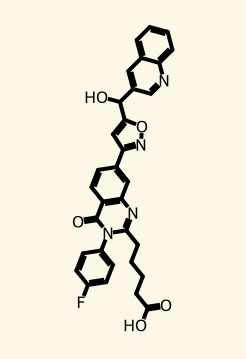 O=C(O)CCCCc1nc2cc(-c3cc(C(O)c4cnc5ccccc5c4)on3)ccc2c(=O)n1-c1ccc(F)cc1